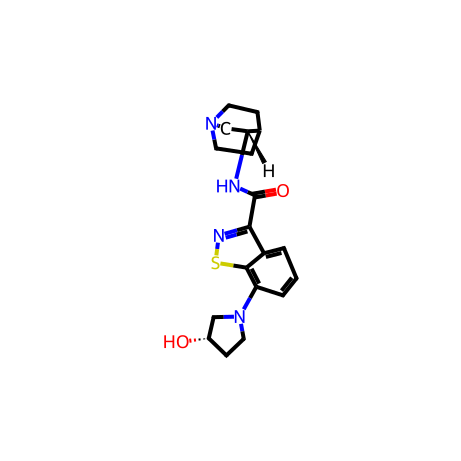 O=C(N[C@@H]1CN2CCC1CC2)c1nsc2c(N3CC[C@H](O)C3)cccc12